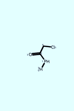 [3H]PC(=O)CCl